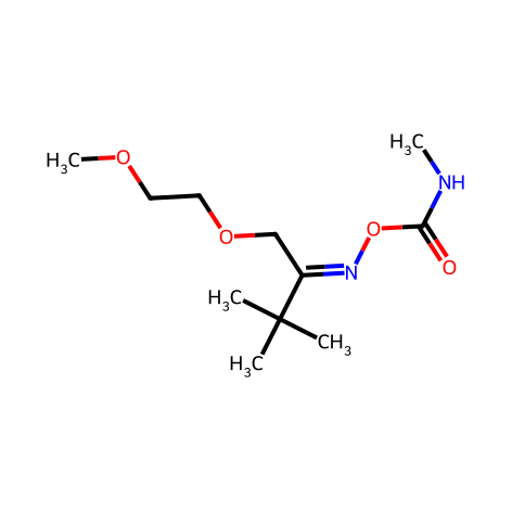 CNC(=O)ON=C(COCCOC)C(C)(C)C